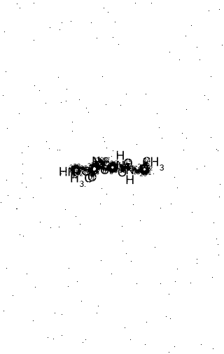 COC1Cc2c(Oc3ccc(NC(=O)C(=O)NCCc4cccc(C)c4)cc3F)ccnc2C=C1OCC1CCNCC1